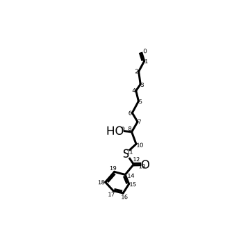 C=CCCCCCCC(O)CSC(=O)c1ccccc1